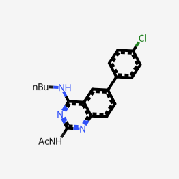 CCCCNc1nc(NC(C)=O)nc2ccc(-c3ccc(Cl)cc3)cc12